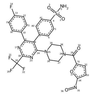 NS(=O)(=O)c1ccc(-c2c(-c3ccc(F)cc3)nc(C(F)(F)F)nc2N2CCN(C(=O)c3ccc(N=O)o3)CC2)cc1